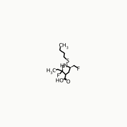 CCCCSN[C@@H](CF)CC(C(=O)O)C(F)(F)CC